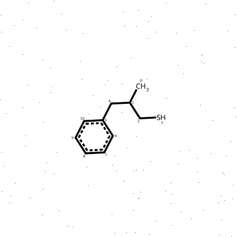 CC(CS)Cc1ccccc1